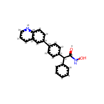 O=C(NO)C(c1ccccc1)c1ccc(-c2ccc3ncccc3c2)cc1